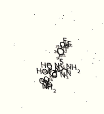 Nc1ncnc2c1c(SCc1ccc(OC(F)(F)F)cc1)nn2[C@@H]1O[C@H](COS(N)(=O)=O)[C@@H](O)[C@H]1O